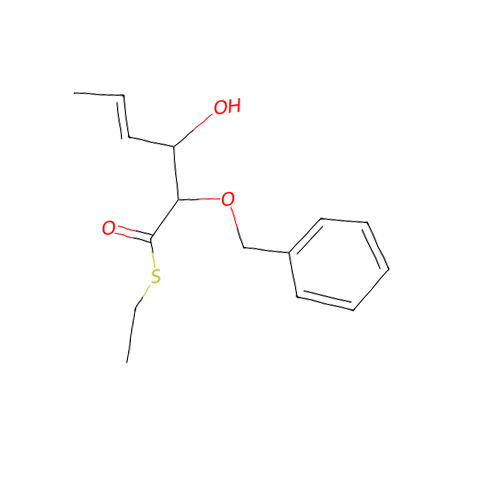 CC=CC(O)C(OCc1ccccc1)C(=O)SCC